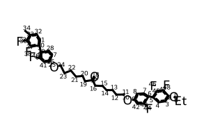 CCOc1ccc(-c2ccc(OCCCCCCC(=O)CCCCCCOc3ccc(-c4ccc(C)c(F)c4F)c(F)c3)cc2F)c(F)c1F